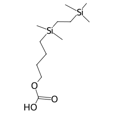 C[Si](C)(C)CC[Si](C)(C)CCCCOC(=O)O